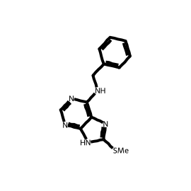 CSc1nc2c(NCc3ccccc3)ncnc2[nH]1